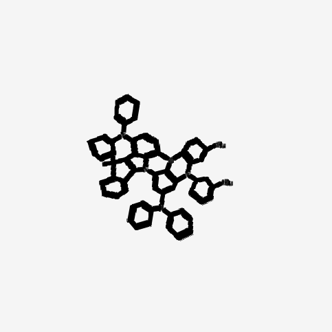 CC(C)(C)C1=CC=CC(N2c3cc(C(C)(C)C)ccc3B3c4c2cc(N(c2ccccc2)c2ccccc2)cc4-n2c4c(c5c(N(c6ccccc6)c6ccccc6)ccc3c52)C(C)(C)c2ccccc2-4)C1